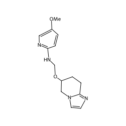 COc1ccc(NCOC2CCc3nccn3C2)nc1